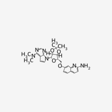 CN(C)c1ncnc2c1ccn2[C@@H]1O[C@H](COc2ccc3ccc(N)nc3c2)[C@H]2OC(C)(C)O[C@H]21